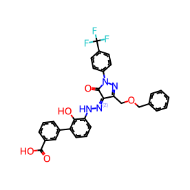 O=C(O)c1cccc(-c2cccc(N/N=C3\C(=O)N(c4ccc(C(F)(F)F)cc4)N=C3COCc3ccccc3)c2O)c1